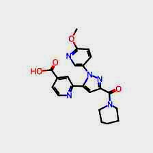 COc1ccc(-n2nc(C(=O)N3CCCCC3)cc2-c2cc(C(=O)O)ccn2)cn1